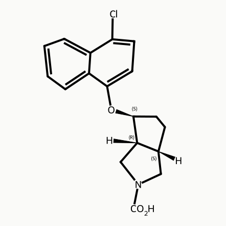 O=C(O)N1C[C@H]2CC[C@H](Oc3ccc(Cl)c4ccccc34)[C@H]2C1